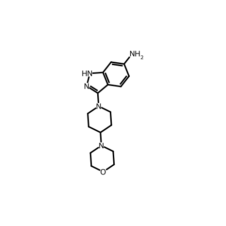 Nc1ccc2c(N3CCC(N4CCOCC4)CC3)n[nH]c2c1